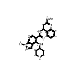 CCn1ncc2c(NC3CCOCC3)c(C(=O)NC(CC(=O)OC)c3ccccc3)cnc21